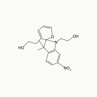 CC1(C)c2ccc([N+](=O)[O-])cc2N(CCO)C12OC=CC=C2CCO